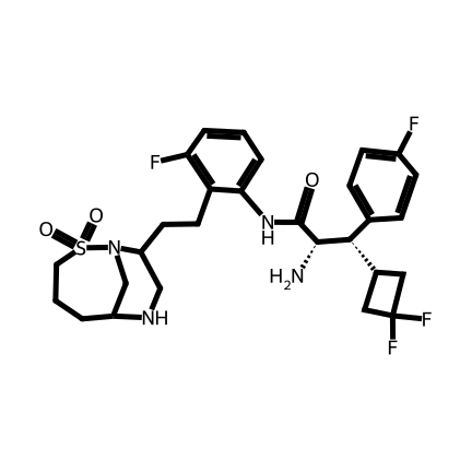 N[C@H](C(=O)Nc1cccc(F)c1CCC1CNC2CCCS(=O)(=O)N1C2)[C@H](c1ccc(F)cc1)C1CC(F)(F)C1